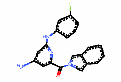 Nc1cc(Nc2cccc(F)c2)nc(C(=O)n2cc3ccccc3c2)c1